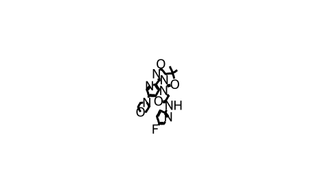 CC(C)(C)C1C(=O)N=C2c3ncc(N4CCOCC4)cc3N(CC(=O)Nc3ccc(F)cn3)C(=O)N21